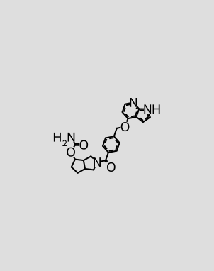 NC(=O)OC1CCC2CN(C(=O)c3ccc(COc4ccnc5[nH]ccc45)cc3)CC21